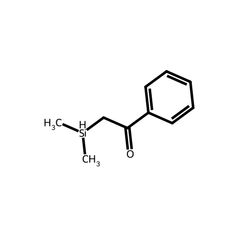 C[SiH](C)CC(=O)c1ccccc1